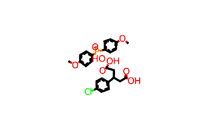 COc1ccc(P(=O)(O)c2ccc(OC)cc2)cc1.O=C(O)CC(CC(=O)O)c1ccc(Cl)cc1